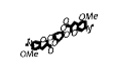 COc1cc(N(C)C)ccc1C=C1C(=O)OC2(CCC3(CC2)OC(=O)C(=Cc2ccc(N(C)C)cc2OC)C(=O)O3)OC1=O